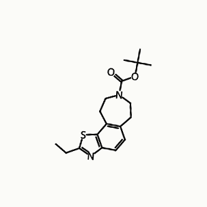 CCc1nc2ccc3c(c2s1)CCN(C(=O)OC(C)(C)C)CC3